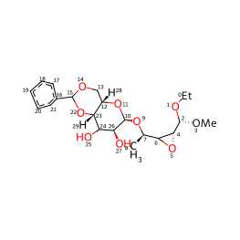 CCO[C@H](OC)[C@@H]1OC1[C@@H](C)O[C@@H]1O[C@H]2COC(c3ccccc3)O[C@H]2C(O)[C@@H]1O